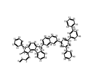 C=C/C=C\c1c(C)n(-c2ccccc2)c2ccc3c(c4ccccc4n3-c3ccc4ccc(-c5nc(-c6ccccc6)nc(-c6cccc(-c7ccccc7)c6)n5)cc4c3)c12